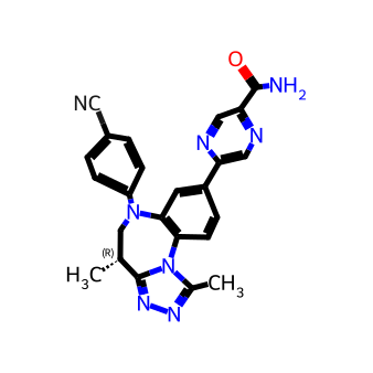 Cc1nnc2n1-c1ccc(-c3cnc(C(N)=O)cn3)cc1N(c1ccc(C#N)cc1)C[C@H]2C